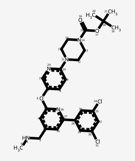 CNCc1cc(Oc2ccc(N3CCN(C(=O)OC(C)(C)C)CC3)nc2)nc(-c2cc(Cl)cc(Cl)c2)c1